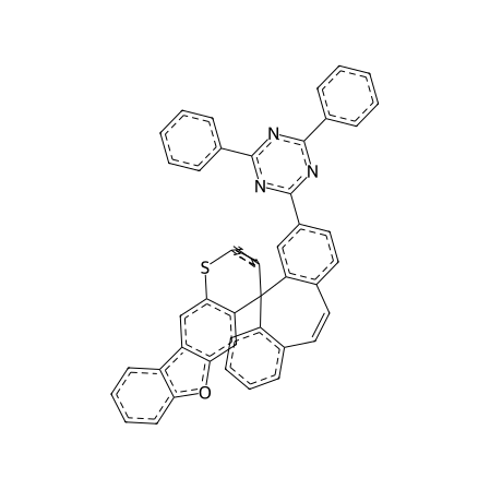 C1=Cc2ccc(-c3nc(-c4ccccc4)nc(-c4ccccc4)n3)cc2C2(c3ccccc31)c1ccccc1Sc1cc3c(cc12)oc1ccccc13